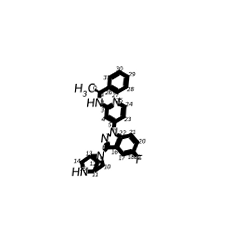 C[C@H](Nc1cc(-n2nc(N3CC4CC3CN4)c3cc(F)ccc32)ccn1)c1ccccc1